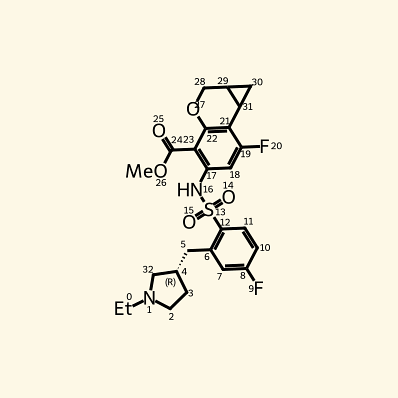 CCN1CC[C@@H](Cc2cc(F)ccc2S(=O)(=O)Nc2cc(F)c3c(c2C(=O)OC)OCC2CC32)C1